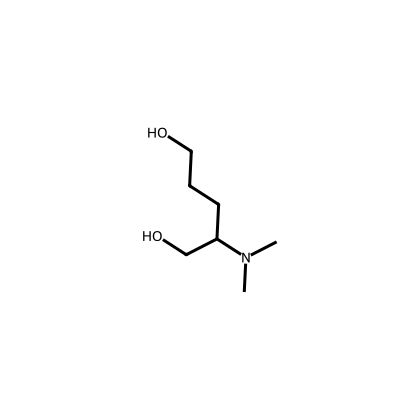 CN(C)C(CO)CCCO